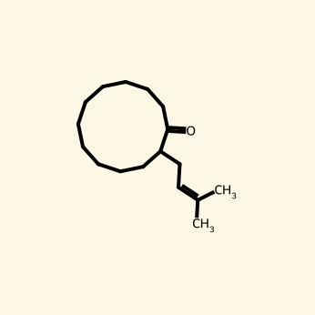 CC(C)=CCC1CCCCCCCCCCC1=O